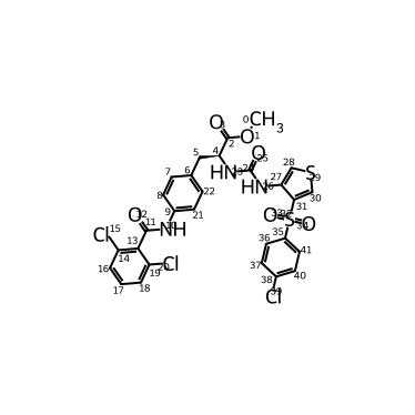 COC(=O)[C@H](Cc1ccc(NC(=O)c2c(Cl)cccc2Cl)cc1)NC(=O)Nc1cscc1S(=O)(=O)c1ccc(Cl)cc1